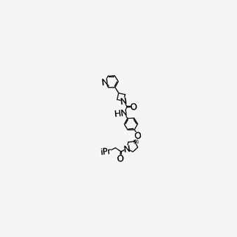 CC(C)CC(=O)N1CC[C@@H](Oc2ccc(NC(=O)N3CC(c4cccnc4)C3)cc2)C1